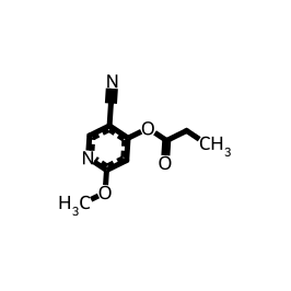 CCC(=O)Oc1cc(OC)ncc1C#N